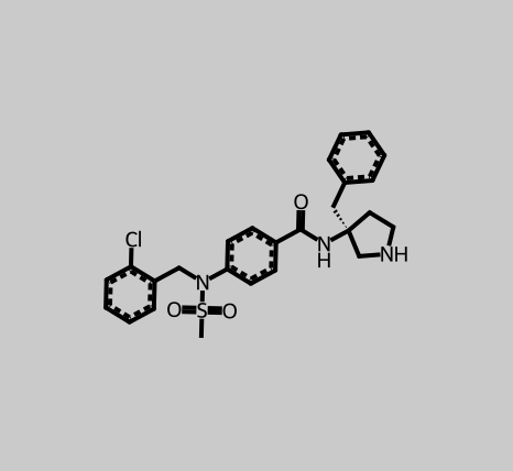 CS(=O)(=O)N(Cc1ccccc1Cl)c1ccc(C(=O)N[C@@]2(Cc3ccccc3)CCNC2)cc1